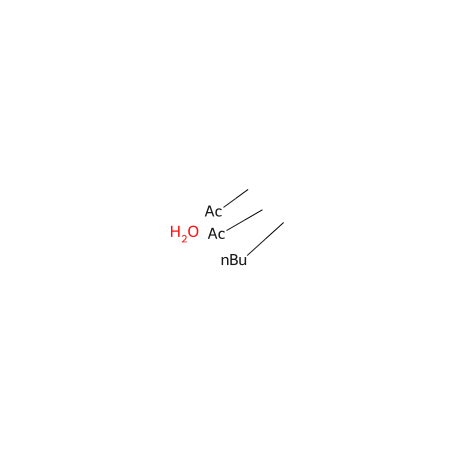 CC(C)=O.CC(C)=O.CCCCC.O